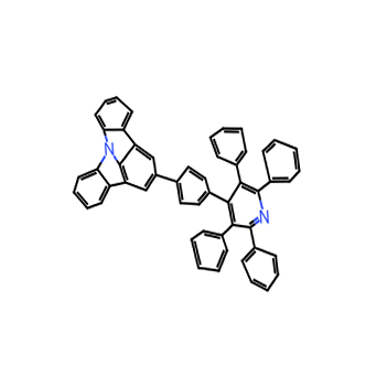 c1ccc(-c2nc(-c3ccccc3)c(-c3ccccc3)c(-c3ccc(-c4cc5c6ccccc6n6c7ccccc7c(c4)c56)cc3)c2-c2ccccc2)cc1